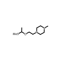 CSC(C)OCCN1CCN(C)CC1